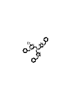 CCC1=NC(CN(Cc2cn(Cc3ccccc3)nn2)Cc2cn(Cc3ccccc3)nn2)=CN(Cc2ccccc2)C1